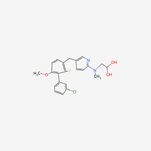 COc1ccc(Cc2ccc(N(C)CC(O)O)nc2)c(F)c1-c1cccc(Cl)c1